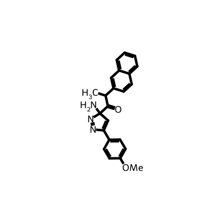 COc1ccc(C2=CC(N)(C(=O)C(C)c3ccc4ccccc4c3)N=N2)cc1